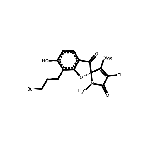 CC[C@H](C)CCCc1c(O)ccc2c1O[C@]1(C2=O)C(OC)=C(Cl)C(=O)N1C